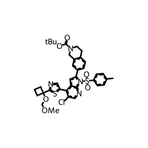 COCOC1(c2ncc(-c3c(Cl)cnc4c3cc(-c3ccc5c(c3)CN(C(=O)OC(C)(C)C)CC5)n4S(=O)(=O)c3ccc(C)cc3)s2)CCC1